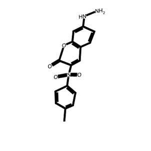 Cc1ccc(S(=O)(=O)c2cc3ccc(NN)cc3oc2=O)cc1